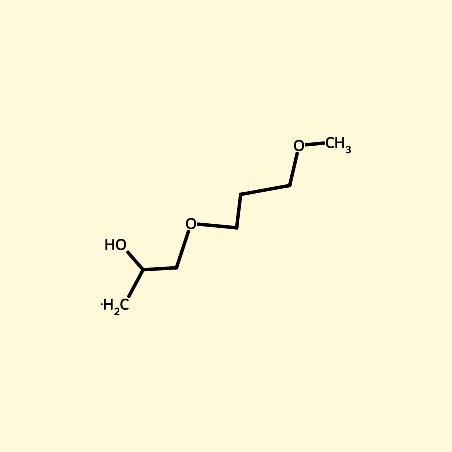 [CH2]C(O)COCCCOC